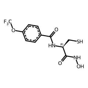 O=C(N[C@@H](CS)C(=O)NO)c1ccc(OC(F)(F)F)cc1